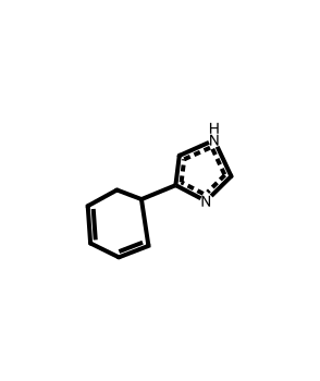 C1=CCC(c2c[nH]cn2)C=C1